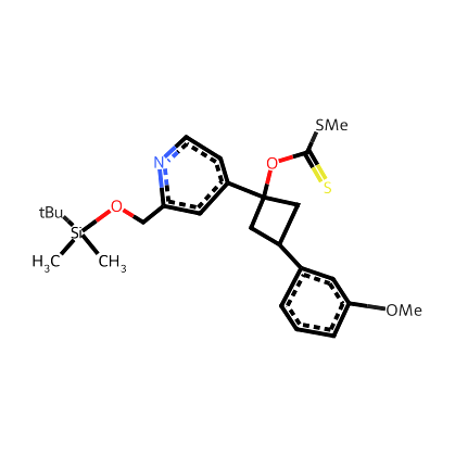 COc1cccc(C2CC(OC(=S)SC)(c3ccnc(CO[Si](C)(C)C(C)(C)C)c3)C2)c1